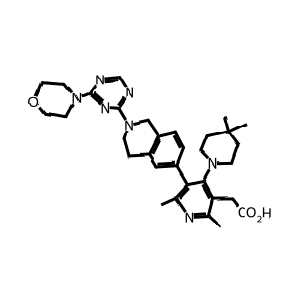 Cc1nc(C)c(-c2ccc3c(c2)CCN(c2ncnc(N4CCOCC4)n2)C3)c(N2CCC(C)(C)CC2)c1CC(=O)O